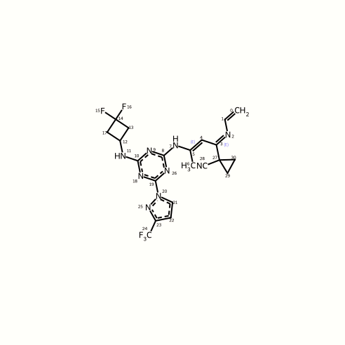 C=C/N=C(\C=C(/C)Nc1nc(NC2CC(F)(F)C2)nc(-n2ccc(C(F)(F)F)n2)n1)C1(C#N)CC1